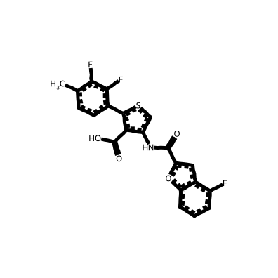 Cc1ccc(-c2scc(NC(=O)c3cc4c(F)cccc4o3)c2C(=O)O)c(F)c1F